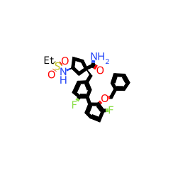 CCS(=O)(=O)N[C@H]1CC[C@](Cc2ccc(F)c(-c3cccc(F)c3OCc3ccccc3)c2)(C(N)=O)C1